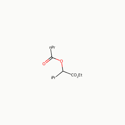 CCCC(=O)OC(C(=O)OCC)C(C)C